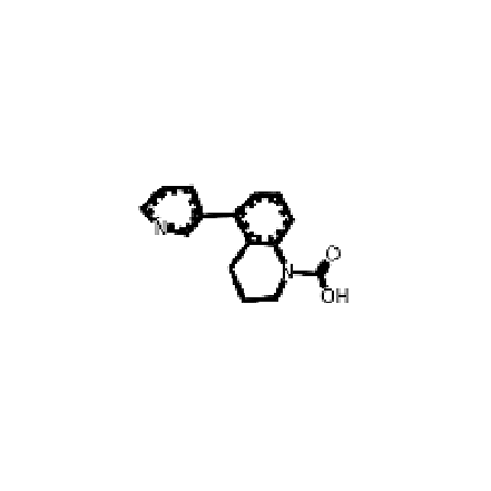 O=C(O)N1CCCc2c(-c3cccnc3)cccc21